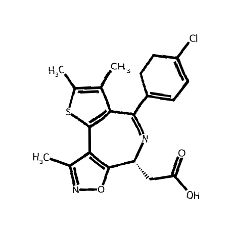 Cc1noc2c1-c1sc(C)c(C)c1C(C1=CC=C(Cl)CC1)=N[C@@H]2CC(=O)O